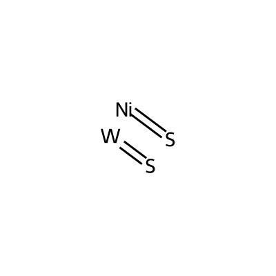 [S]=[Ni].[S]=[W]